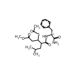 COC(=O)CC(SC(C)=O)C(CC(C)C)C(=O)N[C@@H](Cc1ccccc1)C(N)=O